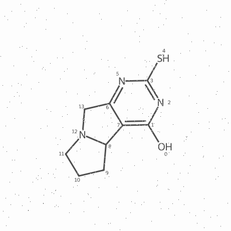 Oc1nc(S)nc2c1C1CCCN1C2